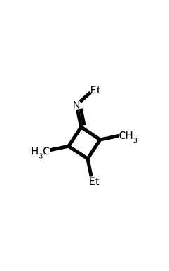 CCN=C1C(C)C(CC)C1C